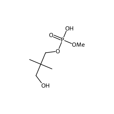 COP(=O)(O)OCC(C)(C)CO